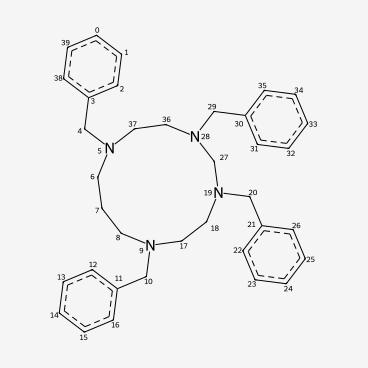 c1ccc(CN2CCCN(Cc3ccccc3)CCN(Cc3ccccc3)CN(Cc3ccccc3)CC2)cc1